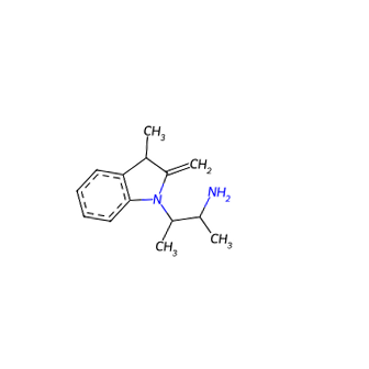 C=C1C(C)c2ccccc2N1C(C)C(C)N